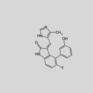 Cc1nc[nH]c1C=C1C(=O)Nc2ccc(F)c(-c3cccc(O)c3)c21